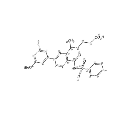 CC(C)COc1cc(F)cc(-c2ccc(C(=O)NS(=O)(=O)c3ccccc3)c(N(C)CCCC(=O)O)n2)c1